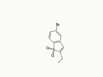 CCC1=Cc2cc(Br)ccc2S1(=O)=O